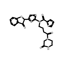 O=C1CN(C(=O)CCCN(C(=O)c2cccs2)c2nc(C3Oc4ccccc4C3=O)cs2)CCN1